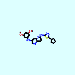 COc1cc(Nc2cnc3ccc(Nc4nnc(C5CCCC5)s4)nc3c2)cc(OC)c1